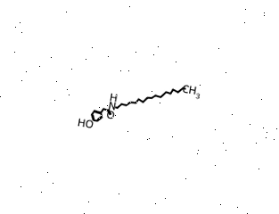 CCCCCCCCCCCCCCCCCNC(=O)Cc1ccc(O)cc1